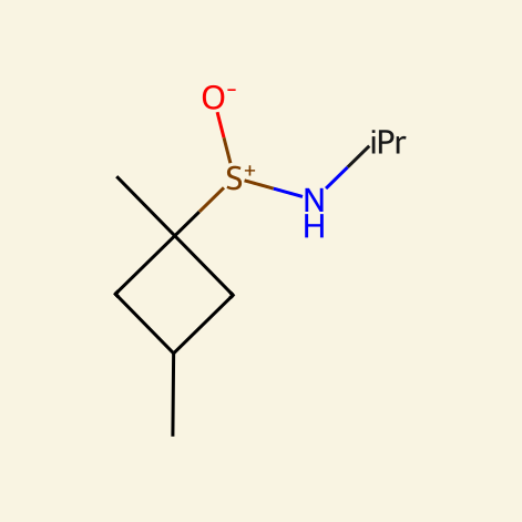 CC1CC(C)([S+]([O-])NC(C)C)C1